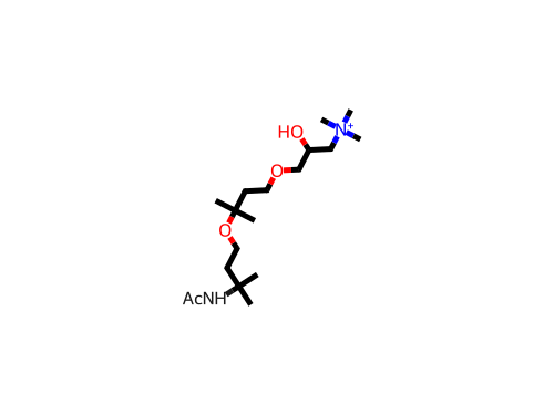 CC(=O)NC(C)(C)CCOC(C)(C)CCOCC(O)C[N+](C)(C)C